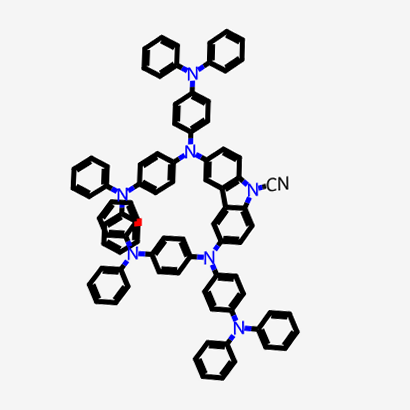 N#Cn1c2ccc(N(c3ccc(N(c4ccccc4)c4ccccc4)cc3)c3ccc(N(c4ccccc4)c4ccccc4)cc3)cc2c2cc(N(c3ccc(N(c4ccccc4)c4ccccc4)cc3)c3ccc(N(c4ccccc4)c4ccccc4)cc3)ccc21